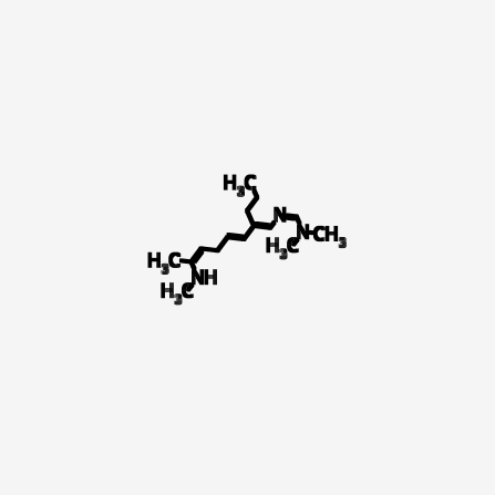 CCCC(/C=C/C/C=C(/C)NC)=C\N=C/N(C)C